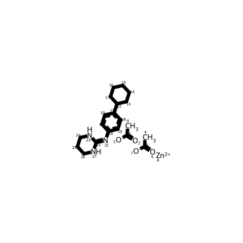 CC(=O)[O-].CC(=O)[O-].[Zn+2].c1cc(C2CCCCC2)ccc1N=C1NCCCN1